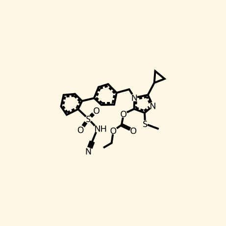 CCOC(=O)Oc1c(SC)nc(C2CC2)n1Cc1ccc(-c2ccccc2S(=O)(=O)NC#N)cc1